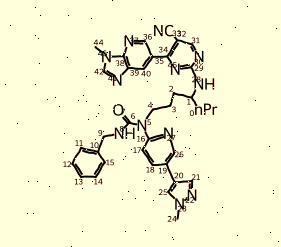 CCCC(CCCN(C(=O)NCc1ccccc1)c1ccc(-c2cnn(C)c2)cn1)Nc1ncc(C#N)c(-c2cnc3c(c2)ncn3C)n1